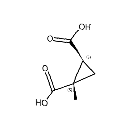 C[C@]1(C(=O)O)C[C@@H]1C(=O)O